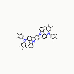 Cc1cc(N(c2cc(C)c(C)c(C)c2)c2ccc3c4cc5c(cc4n4c6ccccc6c2c34)c2ccc(N(c3cc(C)c(C)c(C)c3)c3cc(C)c(C)c(C)c3)c3c4ccccc4n5c23)cc(C)c1C